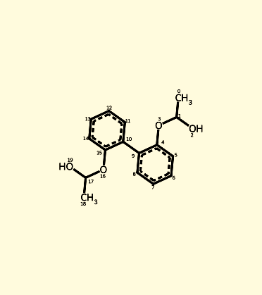 CC(O)Oc1ccccc1-c1ccccc1OC(C)O